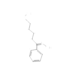 COCCCC/C(=N/O)c1ccccc1